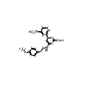 COc1nc(NCCc2ccc(OC(F)(F)F)cc2)cc(-c2cccc(C(=O)O)c2)n1